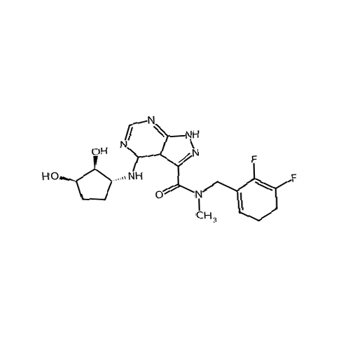 CN(CC1=CCCC(F)=C1F)C(=O)C1=NNC2=NC=NC(N[C@@H]3CC[C@@H](O)[C@H]3O)C21